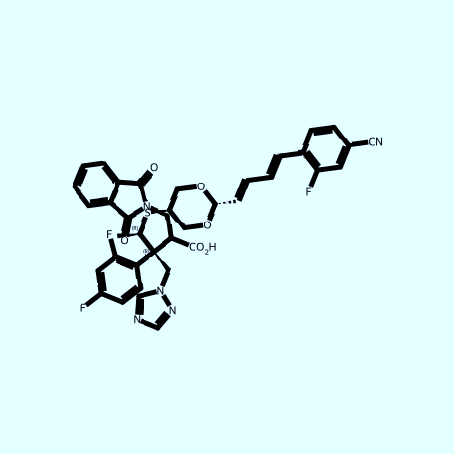 C[C@@H](S[C@H]1CO[C@H](C=CC=Cc2ccc(C#N)cc2F)OC1)[C@@](Cn1cncn1)(c1ccc(F)cc1F)C(CN1C(=O)c2ccccc2C1=O)C(=O)O